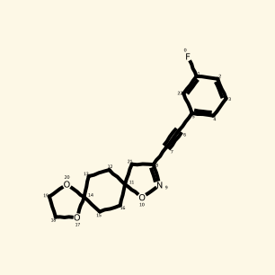 Fc1cccc(C#CC2=NOC3(CCC4(CC3)OCCO4)C2)c1